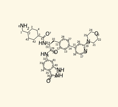 NCC1CCC(C(=O)N[C@@H](Cc2ccc(-c3ccnc(N4CCOCC4)c3)cc2)C(=O)Nc2ccc3c(=O)[nH][nH]c3c2)CC1